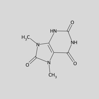 Cn1c(=O)n(C)c2c(=O)[nH]c(=O)[nH]c21